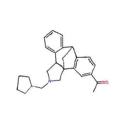 CC(=O)c1ccc2c(c1)C13CC2c2ccccc2C1CN(CC1CCCC1)C3